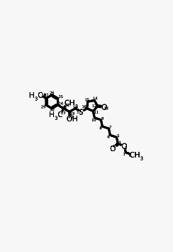 CCOC(=O)CCCCCCC1C(=O)CCC1SCC(O)C(C)(C)c1ccc(C)cc1